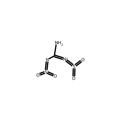 NC(N=S(=O)=O)=[N+]=S(=O)=O